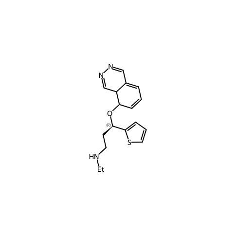 CCNCC[C@@H](OC1C=CC=C2C=NN=CC21)c1cccs1